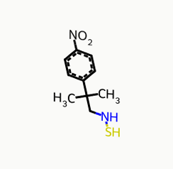 CC(C)(CNS)c1ccc([N+](=O)[O-])cc1